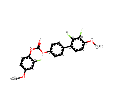 CCCCCCCCOc1ccc(OC(=O)Oc2ccc(-c3ccc(OCCCCCCCC)c(F)c3F)cc2)c(F)c1